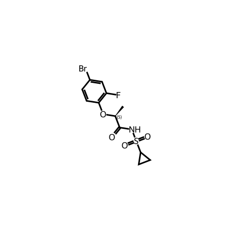 C[C@H](Oc1ccc(Br)cc1F)C(=O)NS(=O)(=O)C1CC1